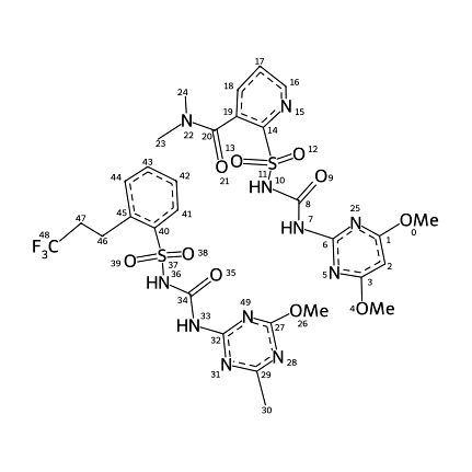 COc1cc(OC)nc(NC(=O)NS(=O)(=O)c2ncccc2C(=O)N(C)C)n1.COc1nc(C)nc(NC(=O)NS(=O)(=O)c2ccccc2CCC(F)(F)F)n1